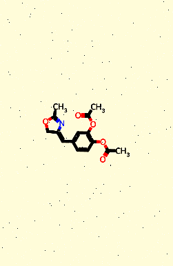 CC(=O)Oc1ccc(C=C2COC(C)=N2)cc1OC(C)=O